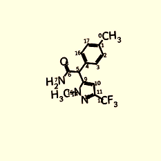 Cc1ccc(C(C(N)=O)c2cc(C(F)(F)F)nn2C)cc1